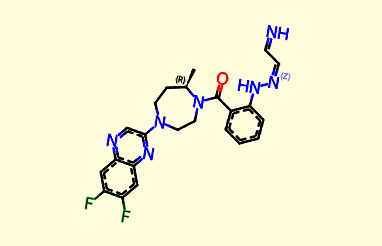 C[C@@H]1CCN(c2cnc3cc(F)c(F)cc3n2)CCN1C(=O)c1ccccc1N/N=C\C=N